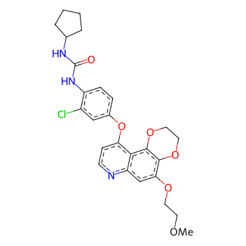 COCCOc1cc2nccc(Oc3ccc(NC(=O)NC4CCCC4)c(Cl)c3)c2c2c1OCCO2